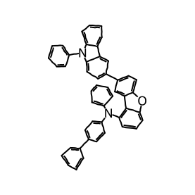 c1ccc(-c2ccc(N(c3ccccc3)c3cccc4oc5ccc(-c6ccc7c(c6)c6ccccc6n7-c6ccccc6)cc5c34)cc2)cc1